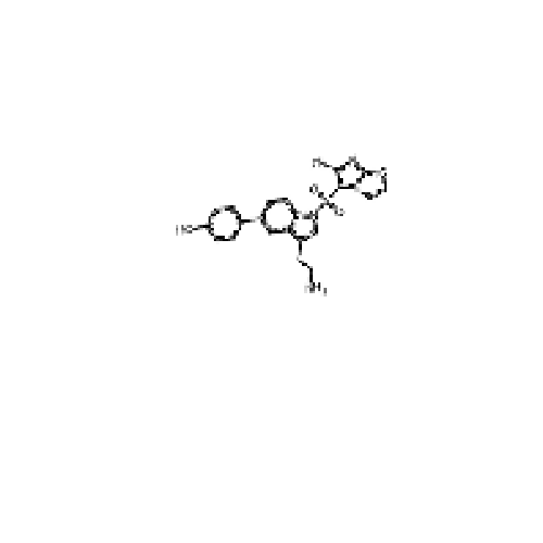 NCCc1cn(S(=O)(=O)c2c(Cl)nc3sccn23)c2ccc(-c3ccc(O)cc3)cc12